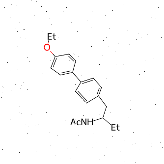 CCOc1ccc(-c2ccc(CC(CC)NC(C)=O)cc2)cc1